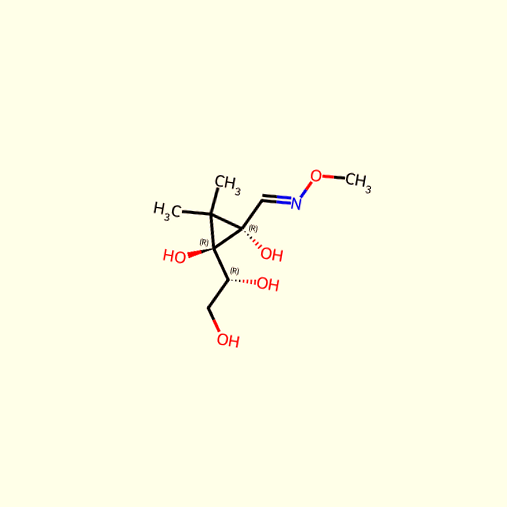 CON=C[C@]1(O)C(C)(C)[C@@]1(O)[C@H](O)CO